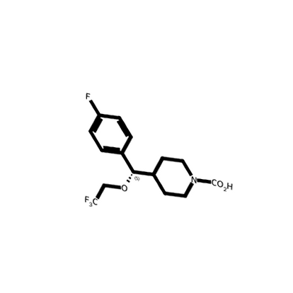 O=C(O)N1CCC([C@H](OCC(F)(F)F)c2ccc(F)cc2)CC1